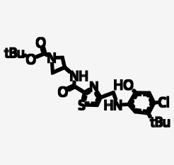 CC(C)(C)OC(=O)N1CC(NC(=O)c2nc(CNc3cc(C(C)(C)C)c(Cl)cc3O)cs2)C1